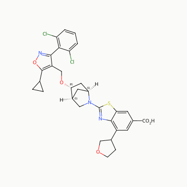 O=C(O)c1cc(C2CCOC2)c2nc(N3C[C@@H]4C[C@H]3C[C@H]4OCc3c(-c4c(Cl)cccc4Cl)noc3C3CC3)sc2c1